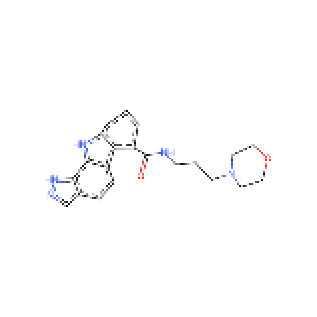 O=C(NCCCN1CCOCC1)c1cccc2[nH]c3c(ccc4cn[nH]c43)c12